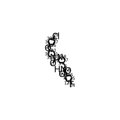 O=C(c1cc(CNS(=O)(=O)c2ccc(F)cc2)ccn1)N1CCC(Oc2ccc(Cl)cc2)CC1